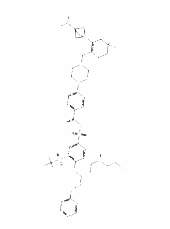 CN(CCO)CC[C@H](CSc1ccccc1)Nc1ccc(S(=O)(=O)NC(=O)c2ccc(N3CCN(CC4=C(C56CC(C(F)F)(C5)C6)CC(C)(C)CC4)CC3)cc2)cc1S(=O)(=O)C(F)(F)F